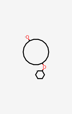 [O]C1CCCCCCCCC(OC2[CH]CCCC2)CCCCCCCC1